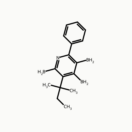 Bc1nc(-c2ccccc2)c(B)c(B)c1C(C)(C)CC